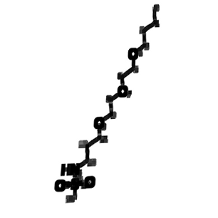 CCCCOCCOCCOCCCNS(C)(=O)=O